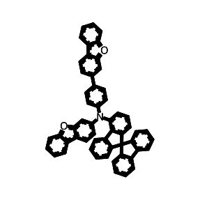 c1ccc2c(c1)-c1ccccc1C21c2ccccc2-c2c(N(c3ccc(-c4ccc5c(c4)oc4ccccc45)cc3)c3ccc4c(c3)oc3ccccc34)cccc21